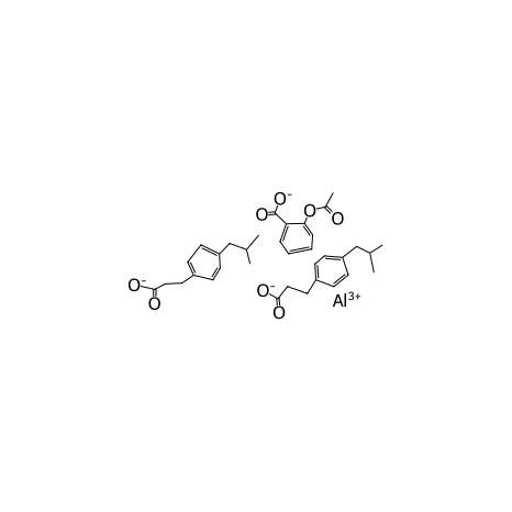 CC(=O)Oc1ccccc1C(=O)[O-].CC(C)Cc1ccc(CCC(=O)[O-])cc1.CC(C)Cc1ccc(CCC(=O)[O-])cc1.[Al+3]